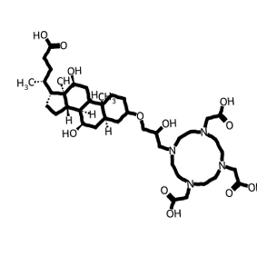 C[C@H](CCC(=O)O)[C@H]1CC[C@H]2[C@@H]3[C@H](O)C[C@@H]4CC(OCC(O)CN5CCN(CC(=O)O)CCN(CC(=O)O)CCN(CC(=O)O)CC5)CC[C@]4(C)[C@H]3C[C@H](O)[C@]12C